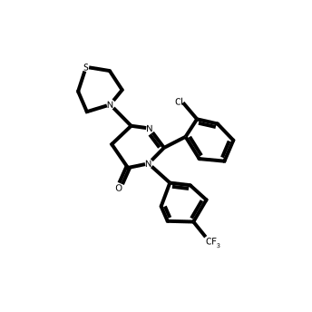 O=C1CC(N2CCSCC2)N=C(c2ccccc2Cl)N1c1ccc(C(F)(F)F)cc1